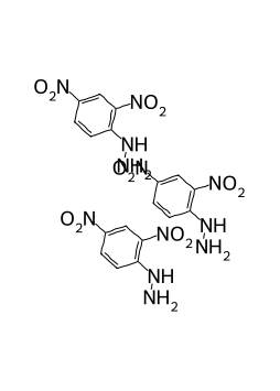 NNc1ccc([N+](=O)[O-])cc1[N+](=O)[O-].NNc1ccc([N+](=O)[O-])cc1[N+](=O)[O-].NNc1ccc([N+](=O)[O-])cc1[N+](=O)[O-]